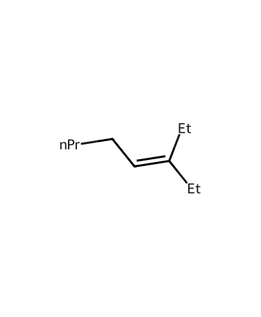 [CH2]CC(=CCCCC)CC